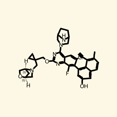 C#Cc1c(C)ccc2cc(O)cc(-c3c(Cl)cc4c(N5CC6CCC(C5)N6)nc(OCC5(CN6C[C@@H]7C[C@H]6CO7)CC5)nc4c3F)c12